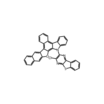 Clc1nc2sc3ccccc3c2nc1-n1c2ccccc2c2c3ccccc3c3c4cc5ccccc5cc4oc3c21